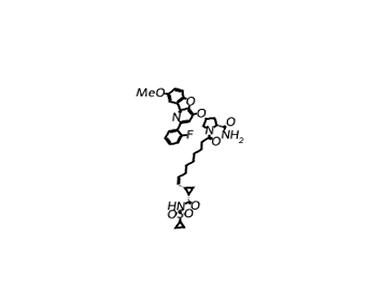 COc1ccc2oc3c(O[C@@H]4C[C@@H](C(N)=O)N(C(=O)CCCCCC/C=C\[C@@H]5C[C@@H]5C(=O)NS(=O)(=O)C5CC5)C4)cc(-c4ccccc4F)nc3c2c1